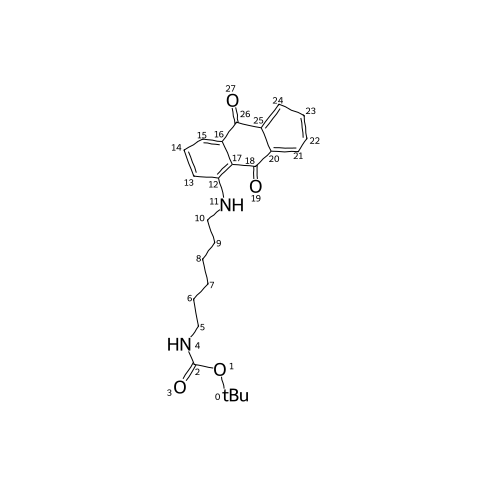 CC(C)(C)OC(=O)NCCCCCCNc1cccc2c1C(=O)c1ccccc1C2=O